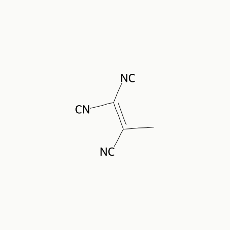 [C-]#[N+]C([N+]#[C-])=C(C)C#N